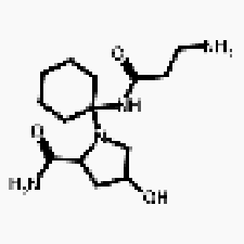 NCCC(=O)NC1(N2CC(O)CC2C(N)=O)CCCCC1